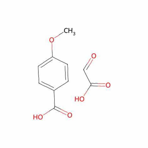 COc1ccc(C(=O)O)cc1.O=CC(=O)O